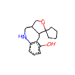 Oc1cccc2c1C1C(CN2)COC12CCCC2